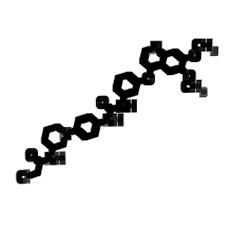 COc1cc2nccc(Oc3cccc(NC(=O)Nc4ccc(N5CCCC(NC(=O)CCl)C5)cc4)c3)c2cc1OC